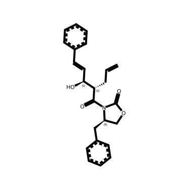 C=CC[C@H](C(=O)N1C(=O)OC[C@H]1Cc1ccccc1)[C@@H](O)C=Cc1ccccc1